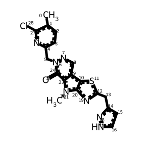 Cc1ccc(Cn2ncc3c4sc(Cc5cc[nH]n5)nc4n(C)c3c2=O)nc1Cl